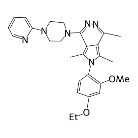 CCOc1ccc(-n2c(C)c3c(C)nnc(N4CCN(c5ccccn5)CC4)c3c2C)c(OC)c1